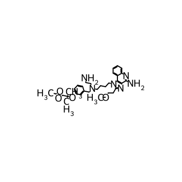 COCCc1nc2c(N)nc3ccccc3c2n1CCCCN(CCN)Cc1cccc(OC(C)(C)C2OC(C)O2)c1